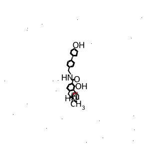 CN1CC[C@]23CCC=C[C@H]2[C@H]1Cc1ccc(C(=O)NCCc2ccc(-c4ccc(O)cc4)cc2)c(O)c13